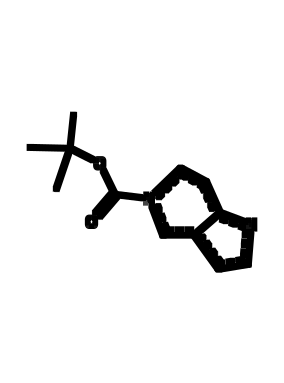 CC(C)(C)OC(=O)n1ccc2nccc-2c1